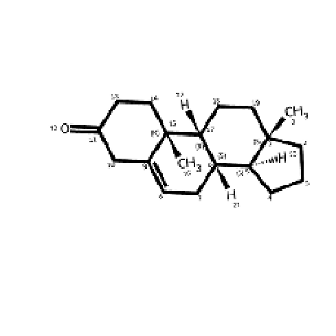 C[C@@]12CCC[C@H]1[C@@H]1CC=C3CC(=O)CC[C@]3(C)[C@@H]1CC2